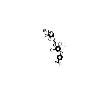 Cc1cc(Oc2ccc(C(F)F)cc2)cc(Cl)c1OCCSc1cnn(C(C)(C)C)c(=O)c1Cl